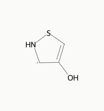 OC1=CSN[CH]1